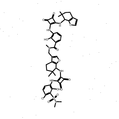 CN(Cc1coc2c1CCC(C)(C)C2Nc1c(Nc2ccc(Cl)c(S(=O)(=O)N(C)C)c2O)c(=O)c1=O)C(=O)c1cccc(Nc2c(NC3c4occc4CCC3(C)C)c(=O)c2=O)c1O